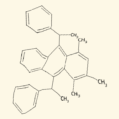 Cc1cc(C)c2c(C(C)c3ccccc3)c3ccccc3c(C(C)c3ccccc3)c2c1C